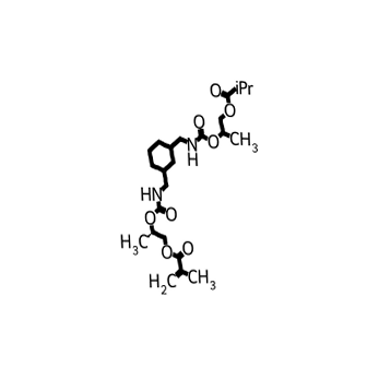 C=C(C)C(=O)OC[C@H](C)OC(=O)NCC1CCCC(CNC(=O)OC(C)COC(=O)C(C)C)C1